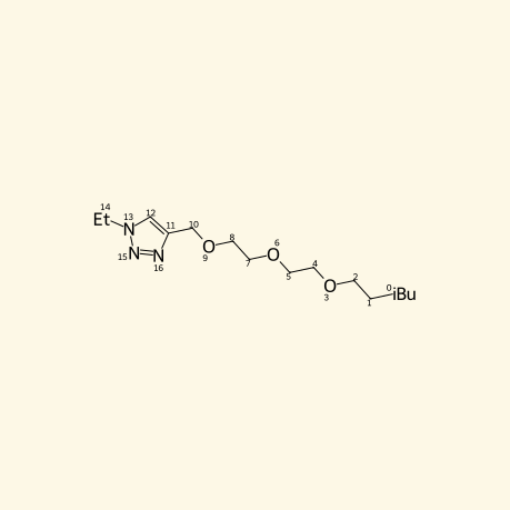 CCC(C)CCOCCOCCOCc1cn(CC)nn1